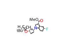 COC(=O)c1cn(C2C=CC(O[Si](C)(C)C(C)(C)C)C2)c2ccc(F)cc12